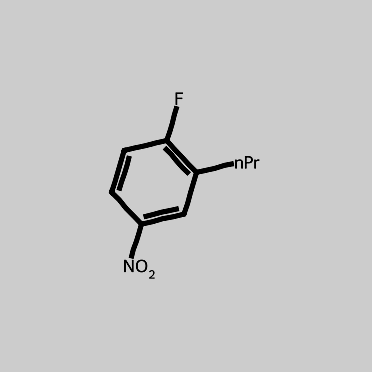 CCCc1cc([N+](=O)[O-])ccc1F